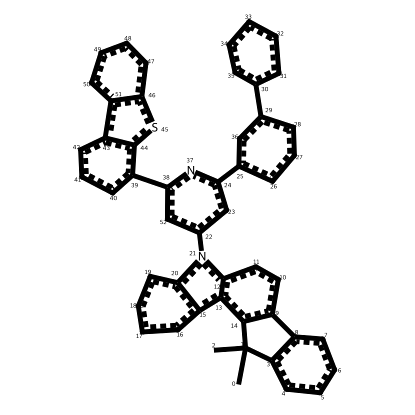 CC1(C)c2ccccc2-c2ccc3c(c21)c1ccccc1n3-c1cc(-c2cccc(-c3ccccc3)c2)nc(-c2cccc3c2sc2ccccc23)c1